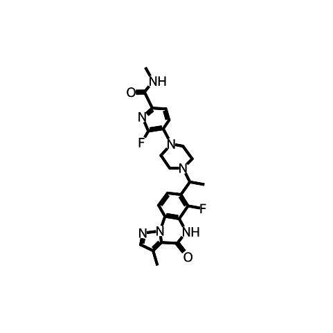 CNC(=O)c1ccc(N2CCN(C(C)c3ccc4c([nH]c(=O)c5c(C)cnn54)c3F)CC2)c(F)n1